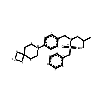 CC(C)CN(Cc1ccc(N2CCC3(CC2)COC3)cc1)S(=O)(=O)Cc1ccccc1